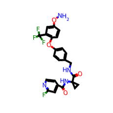 NOc1ccc(Oc2ccc(CNC(=O)C3(NC(=O)c4ccnc(F)c4)CC3)cc2)c(C(F)(F)F)c1